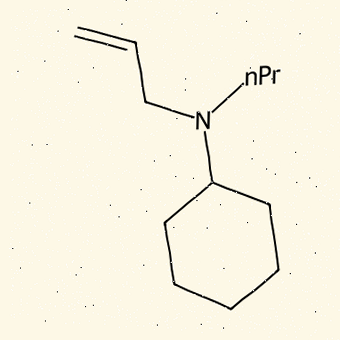 C=CCN(CCC)C1CCCCC1